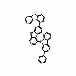 c1ccc(-c2ccc3c4ccccc4n(-c4cccc5sc6cc(-c7cccc8sc9ccccc9c78)ccc6c45)c3c2)cc1